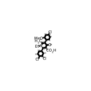 CCn1c(C)c(-c2ccc(Cl)cc2OC)c(=O)c(C(=O)O)c1-c1ccc(Cl)c(Cl)c1